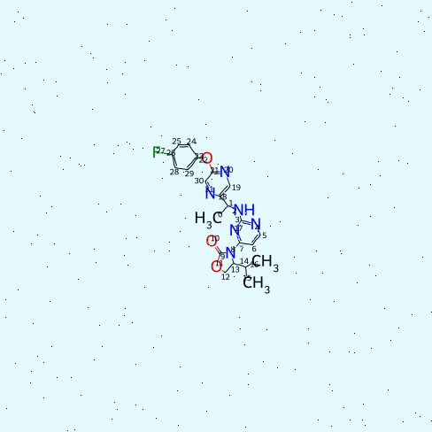 CC(Nc1nccc(N2C(=O)OCC2C(C)C)n1)c1cnc(Oc2ccc(F)cc2)cn1